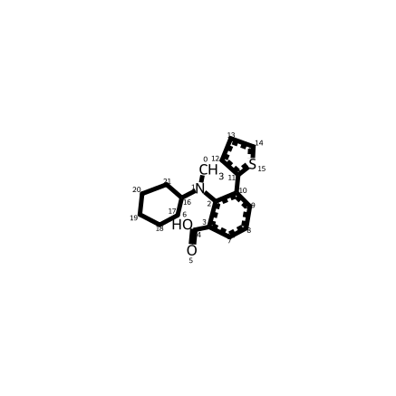 CN(c1c(C(=O)O)[c]ccc1-c1cccs1)C1CCCCC1